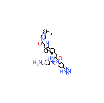 Cc1cc(C(=O)N2CCN(C)CC2)ncc1-c1ccc(C[C@H](NC(=O)C2CCC(CN)CC2)C(=O)Nc2ccc(-c3nnn[nH]3)cc2)cc1